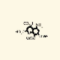 COc1cc(N)c2c(C(=O)O)cc(C(=O)O)nc2c1OC